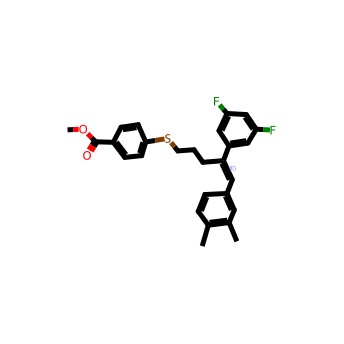 COC(=O)c1ccc(SCCC/C(=C\c2ccc(C)c(C)c2)c2cc(F)cc(F)c2)cc1